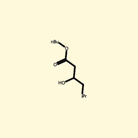 CCCCOC(=O)CC(O)CC(C)C